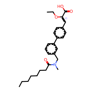 CCCCCCCC(=O)N(C)Cc1cccc(-c2ccc(/C=C(\OCC)C(=O)O)cc2)c1